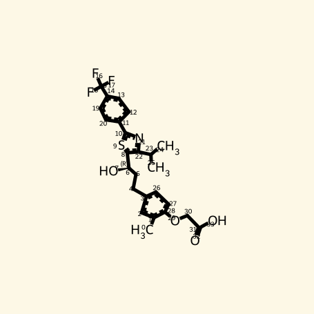 Cc1cc(CC[C@@H](O)c2sc(-c3ccc(C(F)(F)F)cc3)nc2C(C)C)ccc1OCC(=O)O